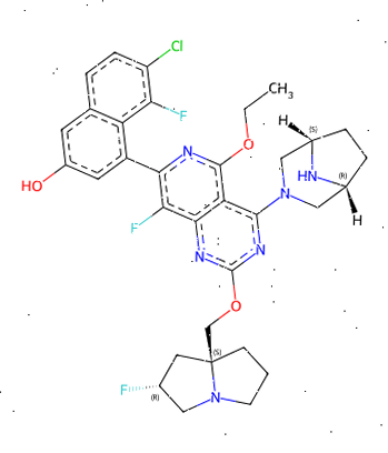 CCOc1nc(-c2cc(O)cc3ccc(Cl)c(F)c23)c(F)c2nc(OC[C@@]34CCCN3C[C@H](F)C4)nc(N3C[C@H]4CC[C@@H](C3)N4)c12